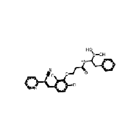 N#CC(=Cc1ccc(Cl)c(OCCC(=O)NC(Cc2ccccc2)B(O)O)c1Cl)c1ccccn1